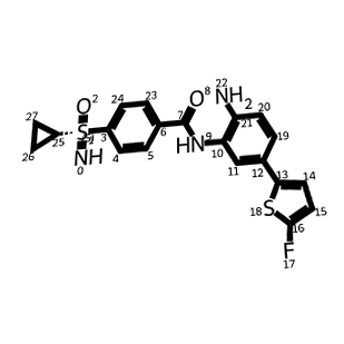 N=[S@@](=O)(c1ccc(C(=O)Nc2cc(-c3ccc(F)s3)ccc2N)cc1)C1CC1